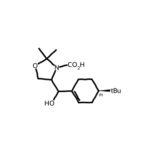 CC(C)(C)[C@H]1CC=C(C(O)C2COC(C)(C)N2C(=O)O)CC1